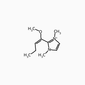 CC/C=C(/OC)c1n(C)cc[n+]1C